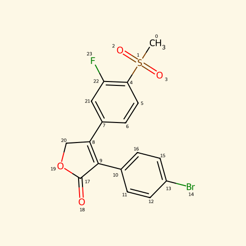 CS(=O)(=O)c1ccc(C2=C(c3ccc(Br)cc3)C(=O)OC2)cc1F